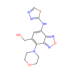 OCc1cc(Nc2nn[c]s2)c2nonc2c1N1CCOCC1